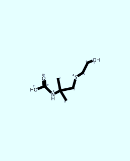 CC(C)(CSCCO)NC(=O)O